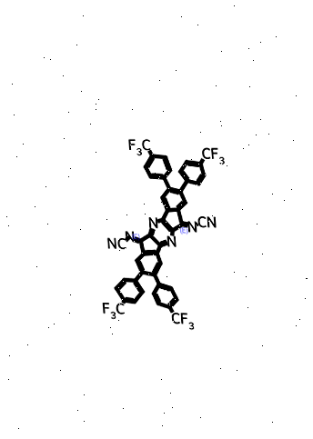 N#C/N=c1\c2cc(-c3ccc(C(F)(F)F)cc3)c(-c3ccc(C(F)(F)F)cc3)cc2c2nc3/c(=N/C#N)c4cc(-c5ccc(C(F)(F)F)cc5)c(-c5ccc(C(F)(F)F)cc5)cc4c3nc12